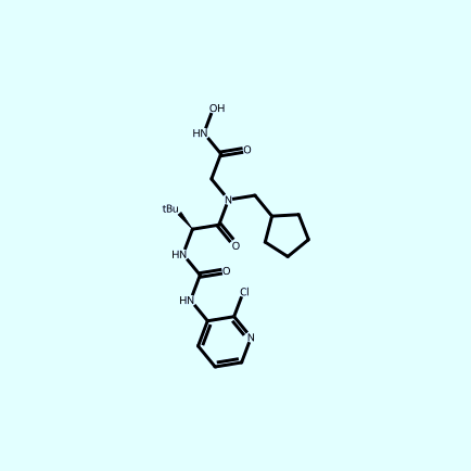 CC(C)(C)[C@H](NC(=O)Nc1cccnc1Cl)C(=O)N(CC(=O)NO)CC1CCCC1